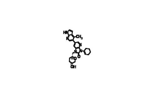 Cc1c(-c2cnc3c(c2)n(C[C@H]2CC[C@@H](O)CO2)c(=O)n3C2=CCCCC2)cnc2[nH]ccc12